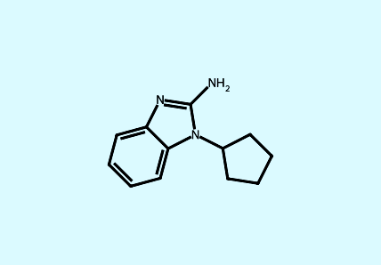 Nc1nc2ccccc2n1C1CCCC1